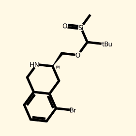 C[Si](=O)C(OC[C@H]1Cc2c(Br)cccc2CN1)C(C)(C)C